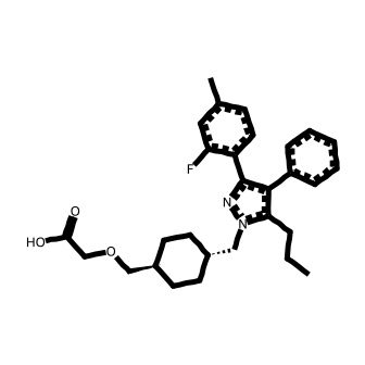 CCCc1c(-c2ccccc2)c(-c2ccc(C)cc2F)nn1C[C@H]1CC[C@H](COCC(=O)O)CC1